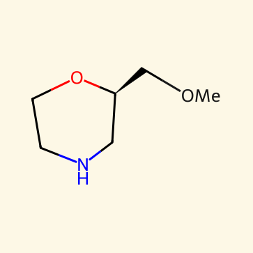 COC[C@H]1CNCCO1